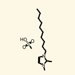 CCCCCCCCCCN1C=CN(C)C1C.CS(=O)(=O)O